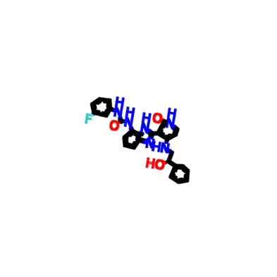 O=C(Nc1cccc(F)c1)Nc1cccc2nc(-c3c(NC[C@H](O)c4ccccc4)cc[nH]c3=O)[nH]c12